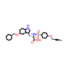 CC#CCOc1ccc(S(=O)(=O)N[C@@H](Cc2c[nH]c3ccc(OCc4ccccc4)cc23)C(=O)O)cc1